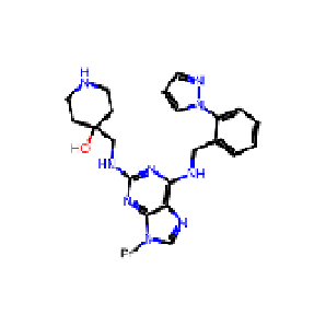 CC(C)n1cnc2c(NCc3ccccc3-n3cccn3)nc(NCC3(O)CCNCC3)nc21